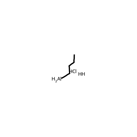 CCC[CH2][AlH2].Cl.[HH]